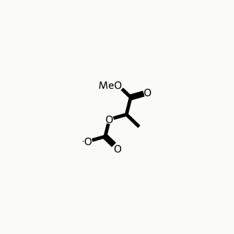 COC(=O)C(C)OC([O])=O